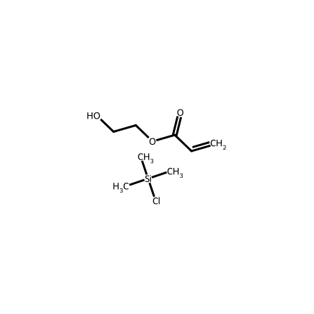 C=CC(=O)OCCO.C[Si](C)(C)Cl